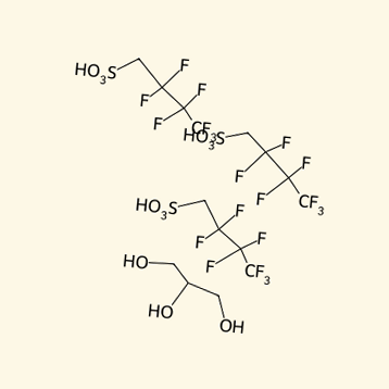 O=S(=O)(O)CC(F)(F)C(F)(F)C(F)(F)F.O=S(=O)(O)CC(F)(F)C(F)(F)C(F)(F)F.O=S(=O)(O)CC(F)(F)C(F)(F)C(F)(F)F.OCC(O)CO